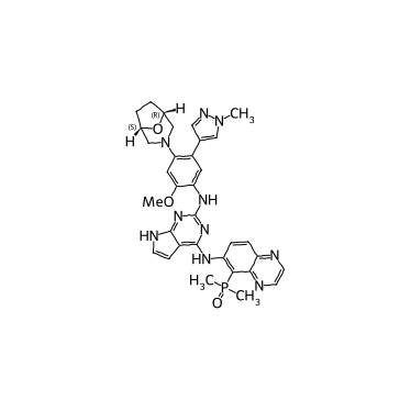 COc1cc(N2C[C@H]3CC[C@@H](C2)O3)c(-c2cnn(C)c2)cc1Nc1nc(Nc2ccc3nccnc3c2P(C)(C)=O)c2cc[nH]c2n1